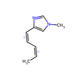 C/C=C\C=C/c1cn(C)cn1